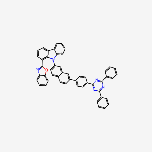 c1ccc(-c2nc(-c3ccccc3)nc(-c3ccc(-c4ccc5ccc(-n6c7ccccc7c7cccc(-c8nc9ccccc9o8)c76)cc5c4)cc3)n2)cc1